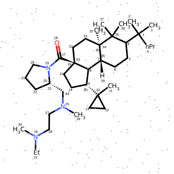 CCCC(C)(C)C1CC[C@@H]2C3[C@H](C4(C)CC4)CC[C@]3(C(=O)N3CCC[C@H]3CN(C)CCN(C)CC)CC[C@@]2(C)C1(C)C